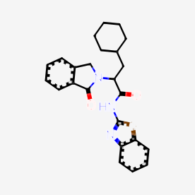 O=C(Nc1nc2ccccc2s1)C(CC1CCCCC1)N1Cc2ccccc2C1=O